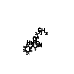 CCCCOC(=O)NC(CC#N)c1ccccc1